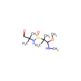 CNC(OC)C(C)(C)[S+]([O-])NC(C)(C)C=O